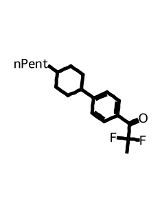 CCCCCC1CCC(c2ccc(C(=O)C(C)(F)F)cc2)CC1